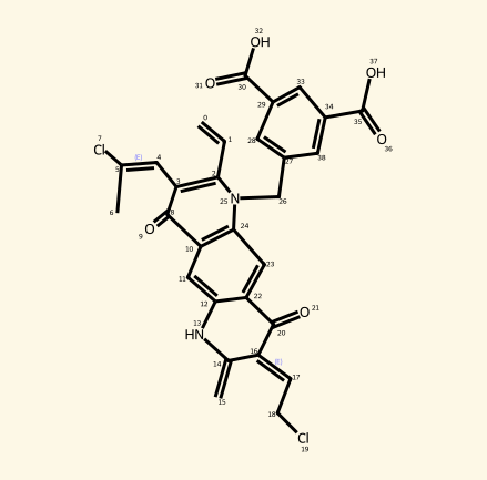 C=Cc1c(/C=C(\C)Cl)c(=O)c2cc3[nH]c(=C)/c(=C\CCl)c(=O)c3cc2n1Cc1cc(C(=O)O)cc(C(=O)O)c1